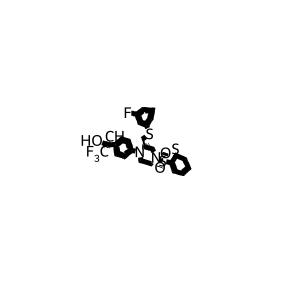 C[C@@](O)(c1ccc(N2CCN(S(=O)(=O)C3=CC=CCC3=S)C[C@@H]2CSc2cccc(F)c2)cc1)C(F)(F)F